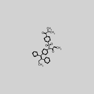 C=CC(=O)N(c1ccc(C(=C(CC)c2ccccc2)c2ccccc2)cc1)S(=O)(=O)c1ccc(C(=O)N(C)C)cc1